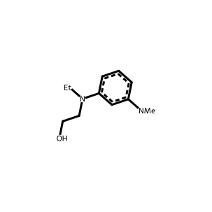 CCN(CCO)c1cccc(NC)c1